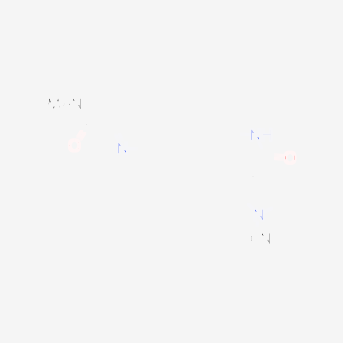 CNC(=O)c1ccc(-c2ccc3c(c2)CC2(CCN(C#N)C2)C(=O)N3)cn1